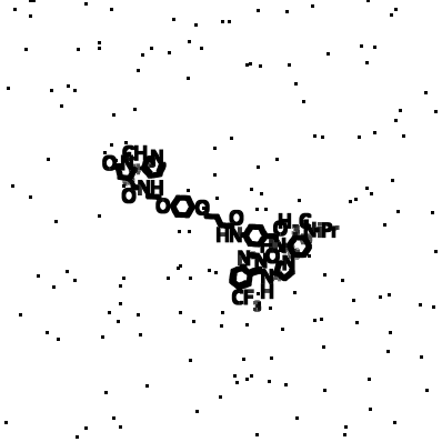 CC(C)N(C)[C@@H]1CC[C@H](N2CC[C@H](Nc3ncnc4ccc(C(F)(F)F)cc34)C2=O)[C@H](NC(=O)C2CCC(NC(=O)CCCO[C@H]3CC[C@@H](OCCNC(=O)[C@H]4CC(=O)N(C)[C@@H]4c4cccnc4)CC3)CC2)C1